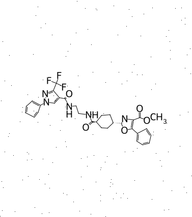 COC(=O)c1nc([C@H]2CC[C@H](C(=O)NCCNC(=O)c3cn(-c4ccccc4)nc3C(F)(F)F)CC2)oc1-c1ccccc1